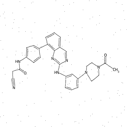 CC(=O)N1CCN(c2cccc(Nc3ncc4cccc(-c5ccc(NC(=O)CC#N)cc5)c4n3)c2)CC1